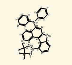 CC1(C)OB(c2cccc3oc4cc(N(c5ccccc5)c5ccccc5)c5ccccc5c4c23)OC1(C)C